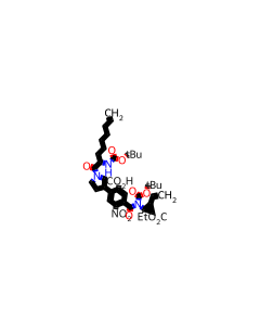 C=CCCCCCC(NC(=O)OC(C)(C)C)C(=O)N1CCC(c2cc([N+](=O)[O-])c(C(=O)N(C(=O)OC(C)(C)C)[C@]3(C(=O)OCC)CC3C=C)cc2C(=O)O)C1